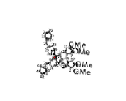 COc1ccc(C2c3cc(OC)c(OC)cc3CC(C(=O)N3CCC(Cc4ccccc4)CC3)C2C(=O)N2CCC(Cc3ccccc3)CC2)cc1OC